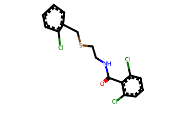 O=C(NCCSCc1ccccc1Cl)c1c(Cl)cccc1Cl